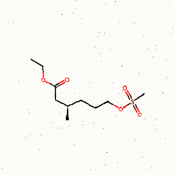 CCOC(=O)C[C@H](C)CCCOS(C)(=O)=O